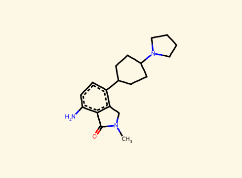 CN1Cc2c(C3CCC(N4CCCC4)CC3)ccc(N)c2C1=O